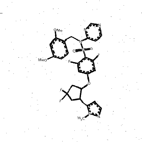 COc1ccc(CN(c2ccncn2)S(=O)(=O)c2c(F)cc(OC3CC(F)(F)CC3c3ccnn3C)cc2F)c(OC)c1